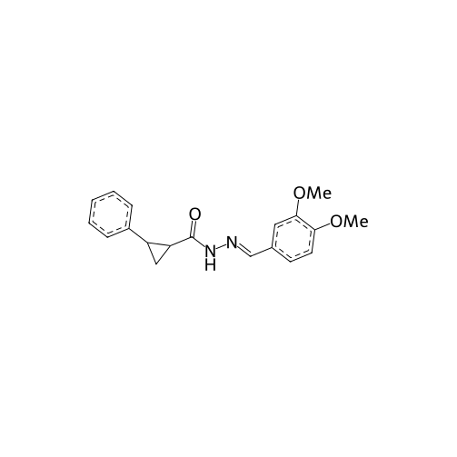 COc1ccc(C=NNC(=O)C2CC2c2ccccc2)cc1OC